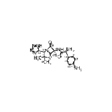 CC1(C)S[C@@H]2C(NC(=O)C(N)c3ccc(N)cc3)C(=O)N2C1c1nnn[nH]1